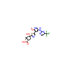 COc1ncc(Nc2nccc(C(F)(F)F)n2)cc1-c1cnc([C@@]2(O)CC[C@H](C(=O)O)C(C)(C)C2)s1